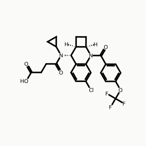 O=C(O)CCC(=O)N(C1CC1)[C@H]1c2ccc(Cl)cc2N(C(=O)c2ccc(OC(F)(F)F)cc2)[C@@H]2CC[C@@H]21